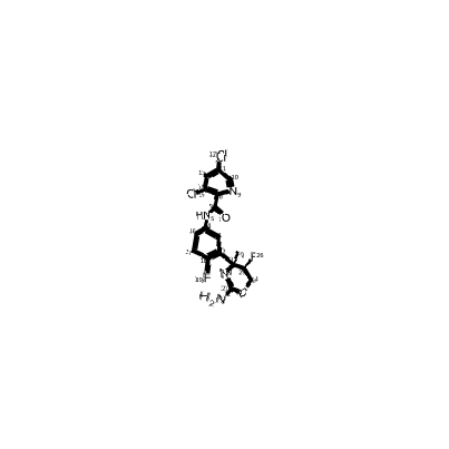 C[C@]1(c2cc(NC(=O)c3ncc(Cl)cc3Cl)ccc2F)N=C(N)OC[C@@H]1F